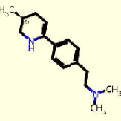 C[C@H]1CC=C(c2ccc(CCN(C)C)cc2)NC1